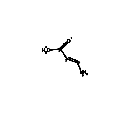 CC(=O)C=CN